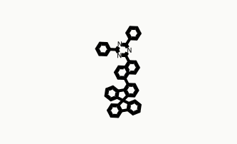 c1ccc(-c2nc(-c3ccccc3)nc(-c3cccc4c(-c5cccc6c5-c5ccccc5C65c6ccccc6-c6ccccc65)cccc34)n2)cc1